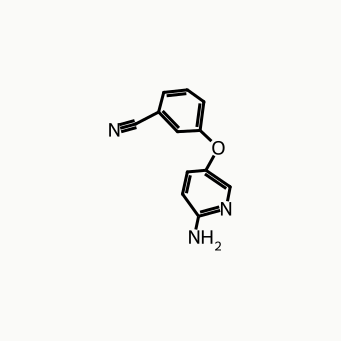 N#Cc1cccc(Oc2ccc(N)nc2)c1